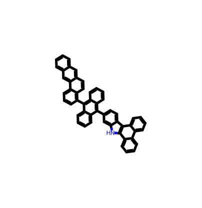 c1ccc2cc3c(ccc4c(-c5c6ccccc6c(-c6ccc7c(c6)[nH]c6c8ccccc8c8ccccc8c76)c6ccccc56)cccc43)cc2c1